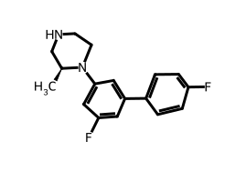 C[C@H]1CNCCN1c1cc(F)cc(-c2ccc(F)cc2)c1